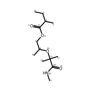 CCC(C)C(=O)OCC(C)OC(C)(C)C(=O)NC